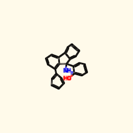 NC1(c2ccccc2O)c2ccccc2-c2cccc(-c3ccccc3)c21